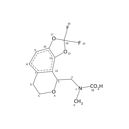 CN(CC1OCCc2ccc3c(c21)OC(F)(F)O3)C(=O)O